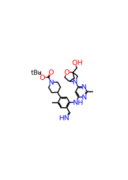 Cc1nc(Nc2cc(C3CCN(C(=O)OC(C)(C)C)CC3)c(C)cc2C=N)cc(N2CC3(CO)CC2CO3)n1